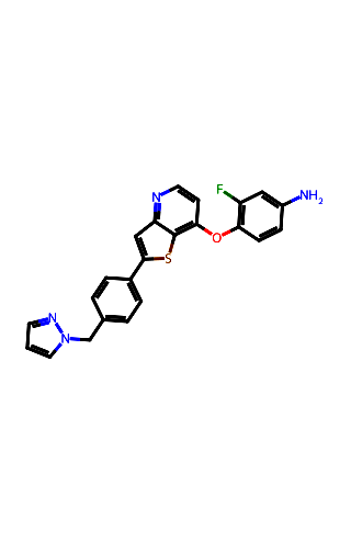 Nc1ccc(Oc2ccnc3cc(-c4ccc(Cn5cccn5)cc4)sc23)c(F)c1